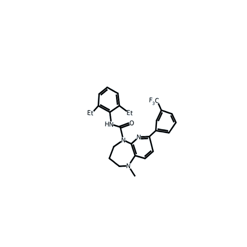 CCc1cccc(CC)c1NC(=O)N1CCCN(C)c2ccc(-c3cccc(C(F)(F)F)c3)nc21